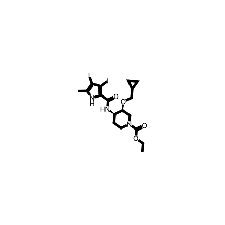 CCOC(=O)N1CC[C@@H](NC(=O)c2[nH]c(C)c(I)c2I)[C@@H](OCC2CC2)C1